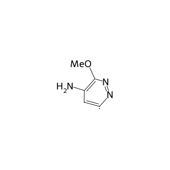 COc1nn[c]cc1N